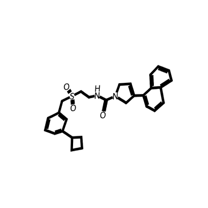 O=C(NCCS(=O)(=O)Cc1cccc(C2CCC2)c1)N1CC=C(c2cccc3ccccc23)C1